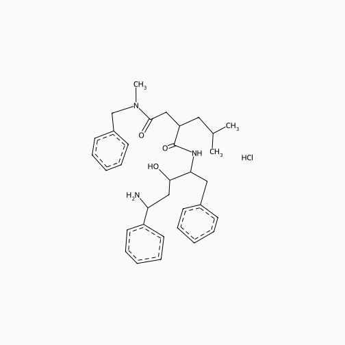 CC(C)CC(CC(=O)N(C)Cc1ccccc1)C(=O)NC(Cc1ccccc1)C(O)CC(N)c1ccccc1.Cl